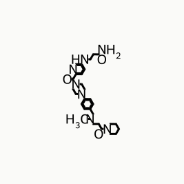 CN(CCC(=O)N1CCCCC1)Cc1ccc(N2CCN(C(=O)c3ccc(NCCC(N)=O)cn3)CC2)cc1